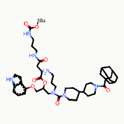 CC(C)(C)OC(=O)NCCCNC(=O)CCC(=O)OC(COc1cccc2[nH]ccc12)CN(CCCN)C(=O)N1CCC(C2CCN(C(=O)C34CC5CC(CC(C5)C3)C4)CC2)CC1